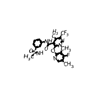 Cc1cnc(Oc2nnc(C(F)(F)F)c(C)c2C(=O)Nc2cccc(S(C)(=N)=O)c2)c(C)c1F